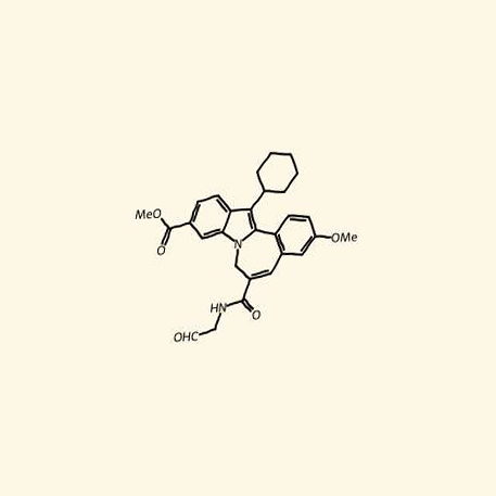 COC(=O)c1ccc2c(C3CCCCC3)c3n(c2c1)CC(C(=O)NCC=O)=Cc1cc(OC)ccc1-3